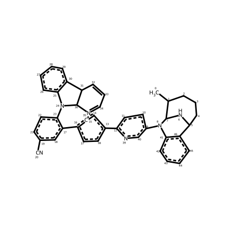 CC1CCCC2NC1N(c1ccc(-c3ccc(-c4cc(C#N)ccc4N4c5ccccc5C5C=CC=NC54)cc3)nc1)c1ccccc12